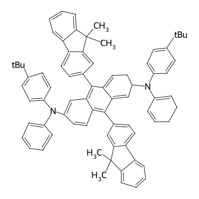 CC(C)(C)c1ccc(N(c2ccccc2)c2ccc3c(-c4ccc5c(c4)C(C)(C)c4ccccc4-5)c4c(c(-c5ccc6c(c5)C(C)(C)c5ccccc5-6)c3c2)=CCC(N(C2=CCCC=C2)c2ccc(C(C)(C)C)cc2)C=4)cc1